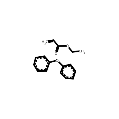 C=CC(=O)OCC.c1ccc(Oc2ccccc2)cc1